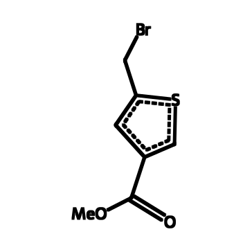 COC(=O)c1csc(CBr)c1